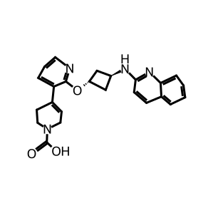 O=C(O)N1CC=C(c2cccnc2O[C@H]2C[C@H](Nc3ccc4ccccc4n3)C2)CC1